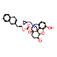 O=C(OCCC1=CCc2ccccc2C1)OC12CCC(=O)C3Oc4c(O)ccc5c4C31CCN(CC1CC1)C2C5